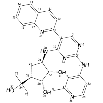 Cc1cc(Nc2ncc(-c3ccc4ccccc4n3)c(N[C@@H]3C[C@H](C(C)(C)O)[C@@H](O)[C@H]3O)n2)ccn1